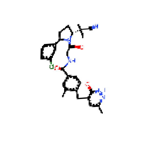 Cc1cc(Cc2ccc(C(=O)NCC(=O)N3C(c4cccc(Cl)c4)CC[C@@H]3C(C)(C)C#N)cc2C)c(=O)[nH]n1